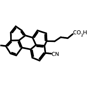 Cc1ccc2c3ccc(C#N)c4c(CCCC(=O)O)ccc(c5cccc1c25)c43